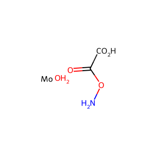 NOC(=O)C(=O)O.O.[Mo]